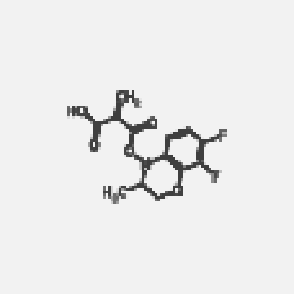 C=C(C(=O)O)C(=O)ON1c2ccc(F)c(F)c2OCC1C